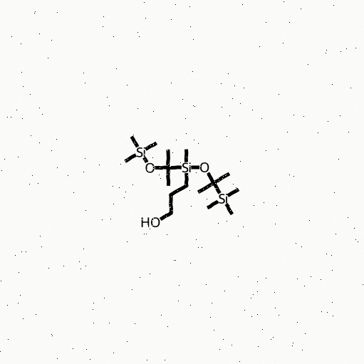 CC(C)(O[Si](C)(CCCO)C(C)(C)O[Si](C)(C)C)[Si](C)(C)C